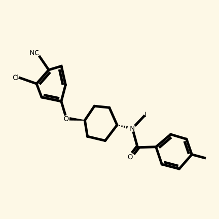 Cc1ccc(C(=O)N(I)[C@H]2CC[C@H](Oc3ccc(C#N)c(Cl)c3)CC2)cc1